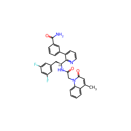 Cc1cc(=O)n(CC(=O)N[C@@H](Cc2cc(F)cc(F)c2)c2ncccc2-c2cccc(C(N)=O)c2)c2ccccc12